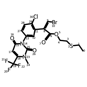 CCSCCOC(=O)C(=CBr)c1cc(-n2c(=O)cc(C(F)(F)F)n(C)c2=O)ccc1Cl